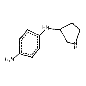 Nc1ccc(NC2CCNC2)cc1